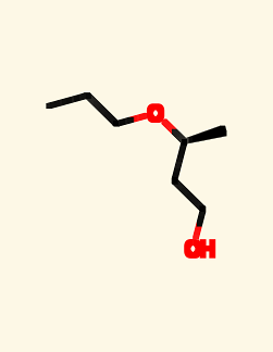 CCCO[C@@H](C)CCO